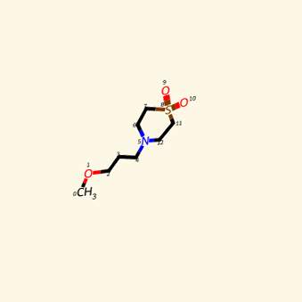 COCCCN1CCS(=O)(=O)CC1